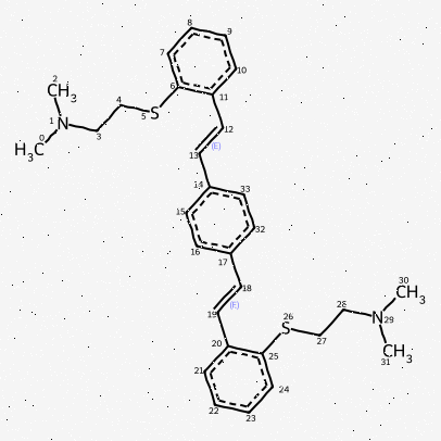 CN(C)CCSc1ccccc1/C=C/c1ccc(/C=C/c2ccccc2SCCN(C)C)cc1